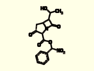 CC(O)C1C(=O)N2C(C(=O)OC(c3ccccc3)[N+](=O)[O-])C(=O)CC12